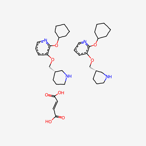 O=C(O)/C=C/C(=O)O.c1cnc(OC2CCCCC2)c(OC[C@H]2CCCNC2)c1.c1cnc(OC2CCCCC2)c(OC[C@H]2CCCNC2)c1